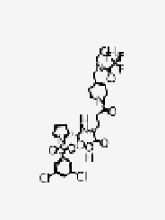 CCN(CC1CCN(C(=O)CC[C@H](NC(=O)[C@H]2CCCN2S(=O)(=O)c2cc(Cl)cc(Cl)c2)C(=O)O)CC1)C(=O)C(F)(F)F